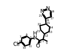 CC(C(=O)Nc1ccc(Cl)cc1)C1CCC(c2ccnnc2)CC1